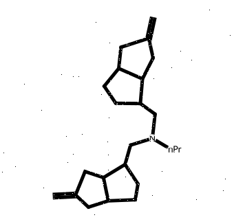 C=C1CC2CCC(CN(CCC)CC3CCC4CC(=C)CC43)C2C1